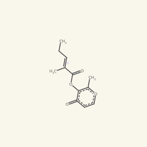 CC/C=C(\C)C(=O)Oc1c(C)occc1=O